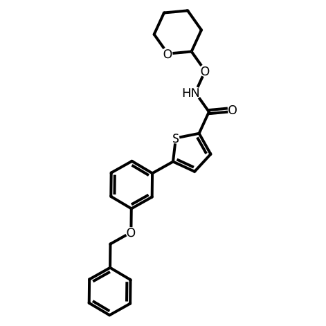 O=C(NOC1CCCCO1)c1ccc(-c2cccc(OCc3ccccc3)c2)s1